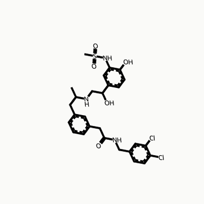 CC(Cc1cccc(CC(=O)NCc2ccc(Cl)c(Cl)c2)c1)NCC(O)c1ccc(O)c(NS(C)(=O)=O)c1